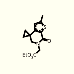 CCOC(=O)CN1CC2(CC2)c2cc(C)sc2C1=O